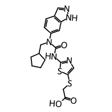 O=C(O)CSc1cnc(NC(=O)N(CC2CCCC2)c2ccc3cn[nH]c3c2)s1